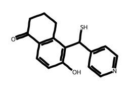 O=C1CCCc2c1ccc(O)c2C(S)c1ccncc1